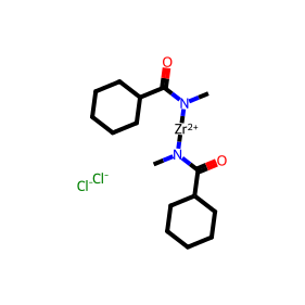 C[N]([Zr+2][N](C)C(=O)C1CCCCC1)C(=O)C1CCCCC1.[Cl-].[Cl-]